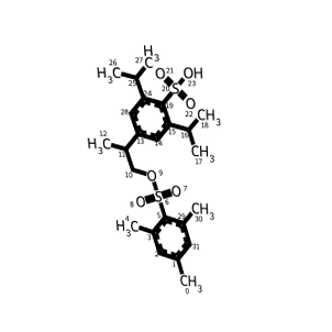 Cc1cc(C)c(S(=O)(=O)OCC(C)c2cc(C(C)C)c(S(=O)(=O)O)c(C(C)C)c2)c(C)c1